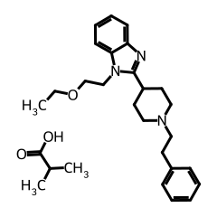 CC(C)C(=O)O.CCOCCn1c(C2CCN(CCc3ccccc3)CC2)nc2ccccc21